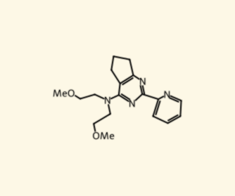 COCCN(CCOC)c1nc(-c2ccccn2)nc2c1CCC2